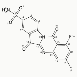 NS(=O)(=O)c1ccc2c(c1)C(=O)c1nc3cc(F)cc(F)c3c(=O)n1-2